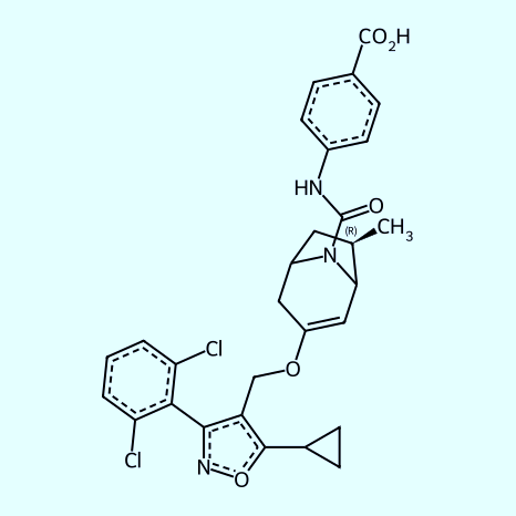 C[C@@H]1CC2CC(OCc3c(-c4c(Cl)cccc4Cl)noc3C3CC3)=CC1N2C(=O)Nc1ccc(C(=O)O)cc1